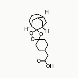 O=C(O)CC1CCC2(CC1)OOC1(O2)[C@@H]2CC3C[C@@H]1CCC[C@H]3C2